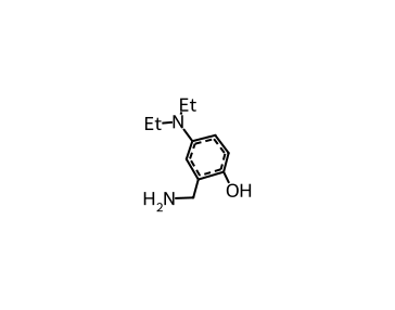 CCN(CC)c1ccc(O)c(CN)c1